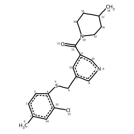 Cc1ccc(SCc2cncc(C(=O)N3CCC(C)CC3)c2)c(Cl)c1